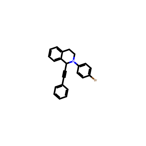 Brc1ccc(N2CCc3ccccc3C2C#Cc2ccccc2)cc1